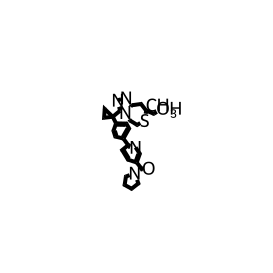 CC1(CO)Cc2nnc(C3(c4ccc(-c5ccc(C(=O)N6CCCC6)cn5)cc4)CC3)n2CCS1